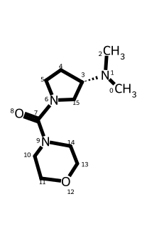 CN(C)[C@H]1CCN(C(=O)N2CCOCC2)C1